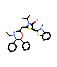 C=C(/C=c1\s/c(=C2\Sc3ccccc3N2C)c(=O)n1C(C)C)OC(c1ccccc1)C(NCC)c1ccccc1